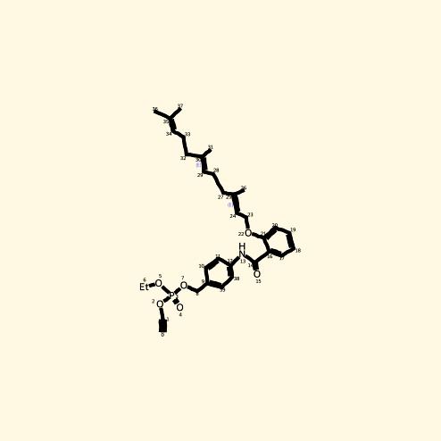 C#COP(=O)(OCC)OCc1ccc(NC(=O)c2ccccc2OC/C=C(\C)CC/C=C(\C)CCC=C(C)C)cc1